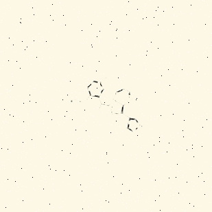 CCCOc1ccc(F)cc1C(C)N1CC(c2cn[nH]c2)=C2N=CC=CN21